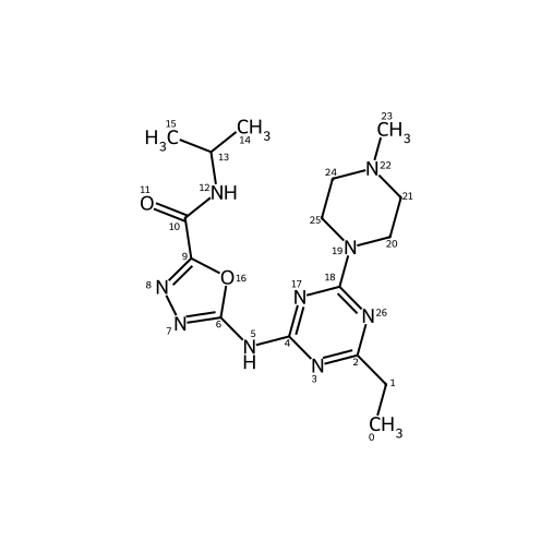 CCc1nc(Nc2nnc(C(=O)NC(C)C)o2)nc(N2CCN(C)CC2)n1